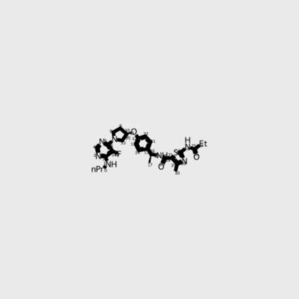 CCCNc1ncnc(N2CC[C@@H](Oc3ccc([C@H](C)NC(=O)c4sc(NC(=O)CC)nc4C)cc3)C2)c1F